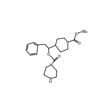 CC(C)(C)OC(=O)N1CCC(C(Cc2ccccc2)OC(=O)N2CCNCC2)CC1